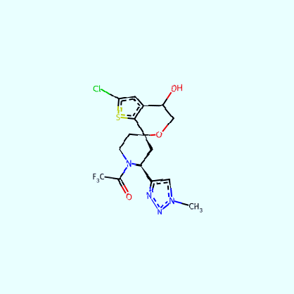 Cn1cc([C@@H]2C[C@]3(CCN2C(=O)C(F)(F)F)OCC(O)c2cc(Cl)sc23)nn1